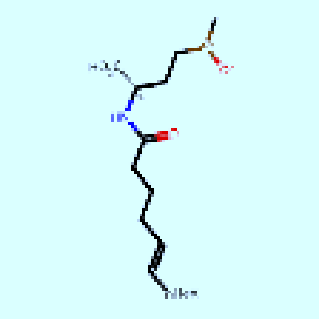 CCCCCCC=CCCCC(=O)N[C@@H](CC[S+](C)[O-])C(=O)O